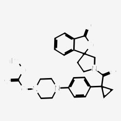 CC(C)OC(=O)ON1CCN(c2ccc(C3(C(=O)N4CCC5(C4)OC(=O)c4ccccc45)CC3)cc2)CC1